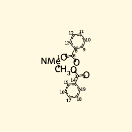 CNC.O=C(OOC(=O)c1ccccc1)c1ccccc1